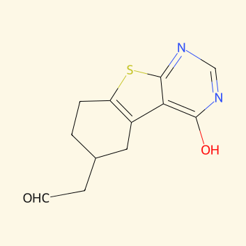 O=CCC1CCc2sc3ncnc(O)c3c2C1